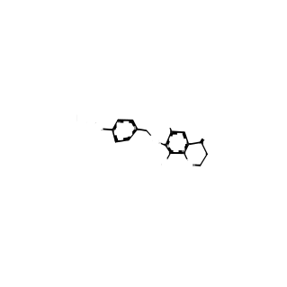 CSc1ccc(COc2c(F)cc3c(c2C)OCCC3=O)cc1